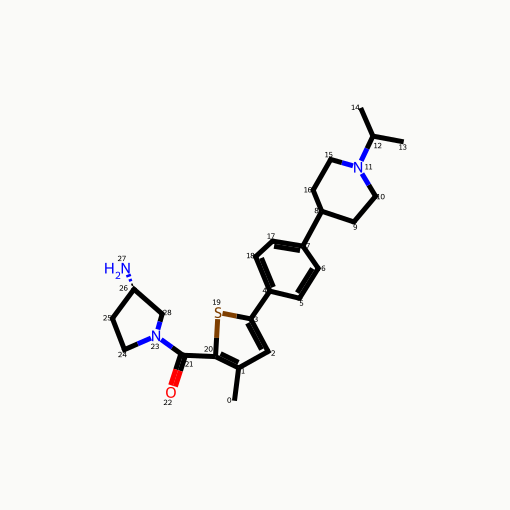 Cc1cc(-c2ccc(C3CCN(C(C)C)CC3)cc2)sc1C(=O)N1CC[C@H](N)C1